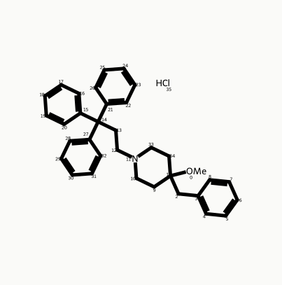 COC1(Cc2ccccc2)CCN(CCC(c2ccccc2)(c2ccccc2)c2ccccc2)CC1.Cl